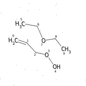 C=CCOO.CCOCC